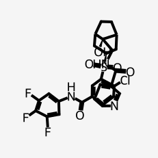 O=C(NC[C@]1(O)C2CCC1C[C@@H](S(=O)(=O)c1cc(C(=O)Nc3cc(F)c(F)c(F)c3)ccc1Cl)C2)c1cccnc1